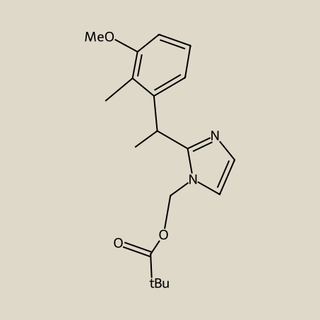 COc1cccc(C(C)c2nccn2COC(=O)C(C)(C)C)c1C